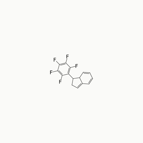 Fc1c(F)c(F)c(C2CC=C3C=CC=CC32)c(F)c1F